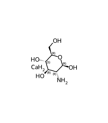 N[C@@H]1[C@@H](O)[C@H](O)[C@@H](CO)O[C@H]1O.[CaH2]